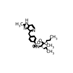 CCCOC(=O)[C@H](CC(C)C)NS(=O)(=O)c1ccc(Cc2nccc3[nH]c(C)nc23)cc1